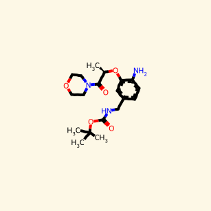 C[C@@H](Oc1cc(CNC(=O)OC(C)(C)C)ccc1N)C(=O)N1CCOCC1